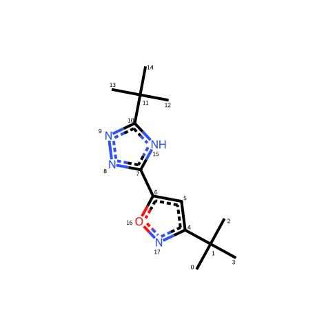 CC(C)(C)c1cc(-c2nnc(C(C)(C)C)[nH]2)on1